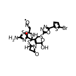 CON=CC(=O)NC1(c2csc(N)n2)S[C@H]2CC(=O)N2C(C(=O)O)=C1CSc1nnc(-c2ccc(Br)s2)o1